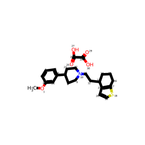 COc1cccc(C2CCN(CCC3CCCc4sccc43)CC2)c1.O=C(O)C(=O)O